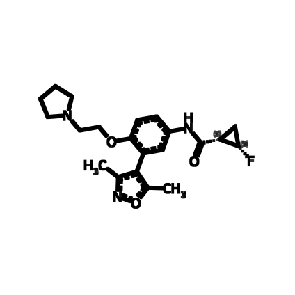 Cc1noc(C)c1-c1cc(NC(=O)[C@@H]2C[C@@H]2F)ccc1OCCN1CCCC1